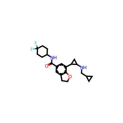 O=C(NC1CCC(F)(F)CC1)c1cc2c(c(C3CC3NCC3CC3)c1)OCC2